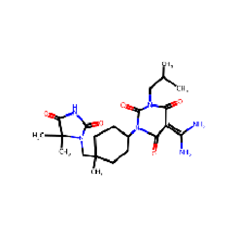 CC(C)CN1C(=O)C(=C(N)N)C(=O)N(C2CCC(C)(CN3C(=O)NC(=O)C3(C)C)CC2)C1=O